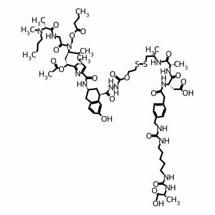 CCCCN(C)[C@H](C)C(=O)NCC(=O)N(COC(=O)CCC)[C@H](C[C@@H](OC(C)=O)c1nc(C(=O)N[C@H]2Cc3ccc(O)cc3[C@H](C(=O)NNC(=O)OCCSSC[C@@H](C)NC(=O)[C@H](C)NC(=O)[C@H](CC(=O)O)NC(=O)Cc3ccc(CNC(=O)NCCCCCNC(=O)N[C@@H](C)C(=O)O)cc3)C2)cs1)C(C)C